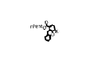 CCCCCOC(=O)c1cccc2c1Cc1ccccc1O2.[K]